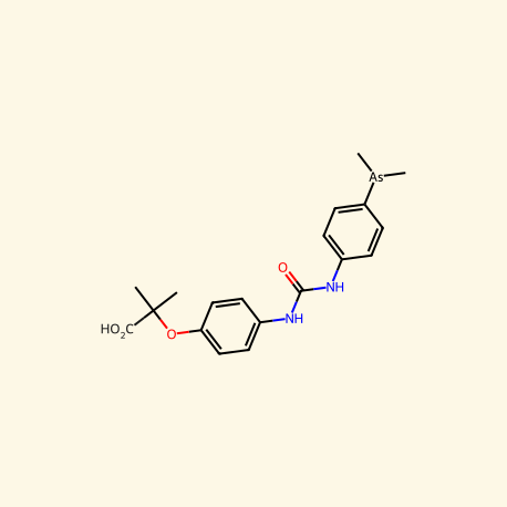 C[As](C)c1ccc(NC(=O)Nc2ccc(OC(C)(C)C(=O)O)cc2)cc1